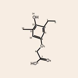 CCc1cc(OCC(=O)O)cc(C)c1O